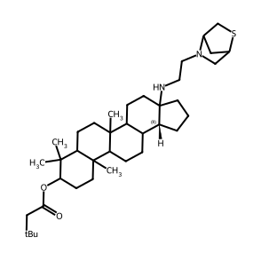 CC(C)(C)CC(=O)OC1CCC2(C)C(CCC3(C)C4CCC5(NCCN6CC7CC6CS7)CCC[C@@H]5C4CCC32)C1(C)C